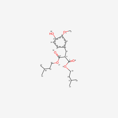 COc1cc(CC(C(=O)OCCC(C)C)C(=O)OCCC(C)C)ccc1O